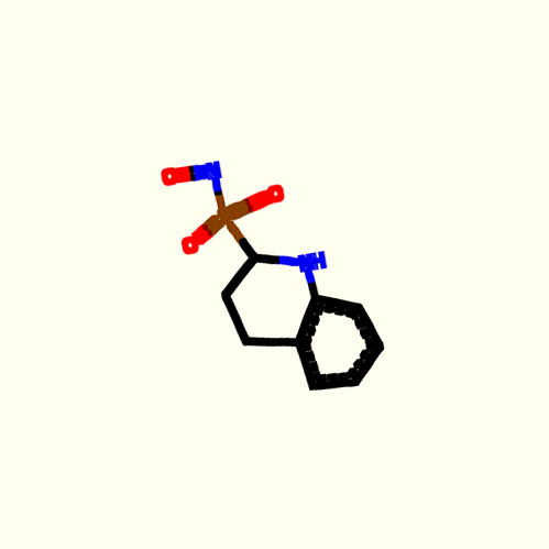 O=NS(=O)(=O)C1CCc2ccccc2N1